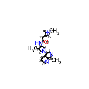 Cc1ncc(N2C[C@@H](C)[C@@H](NC(=O)CC3CN(C)C3)C2)c2cccnc12